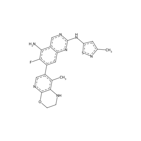 Cc1cc(Nc2ncc3c(N)c(F)c(-c4cnc5c(c4C)NCCO5)cc3n2)sn1